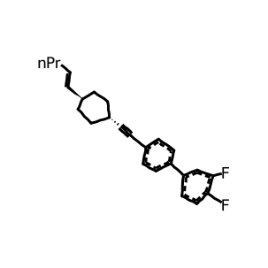 CCC/C=C/[C@H]1CC[C@H](C#Cc2ccc(-c3ccc(F)c(F)c3)cc2)CC1